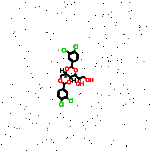 OC[C@@H](O)[C@H]1OC(c2ccc(Cl)c(Cl)c2)O[C@H]2COC(c3ccc(Cl)c(Cl)c3)O[C@@H]12